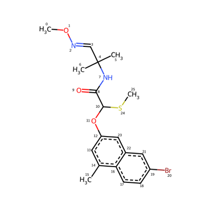 CON=CC(C)(C)NC(=O)C(Oc1cc(C)c2ccc(Br)cc2c1)SC